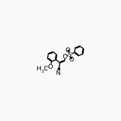 COc1ccccc1/C(C#N)=C\OS(=O)(=O)c1ccccc1